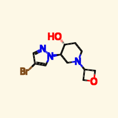 O[C@@H]1CCN(C2COC2)C[C@H]1n1cc(Br)cn1